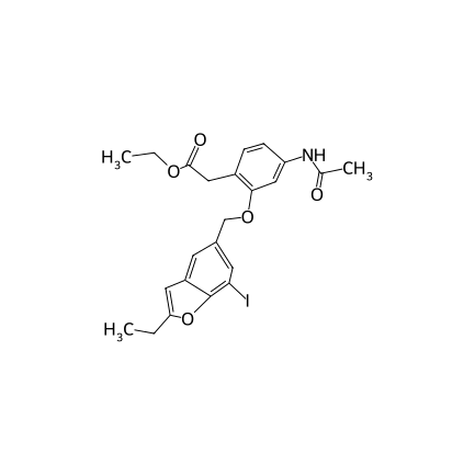 CCOC(=O)Cc1ccc(NC(C)=O)cc1OCc1cc(I)c2oc(CC)cc2c1